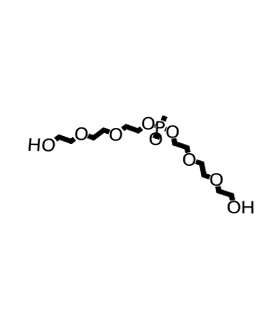 CP(=O)(OCCOCCOCCO)OCCOCCOCCO